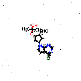 CC(C)(O)O[C@H]1C[C@H](n2ccc3c(Cl)ncnc32)C[C@@H]1C=O